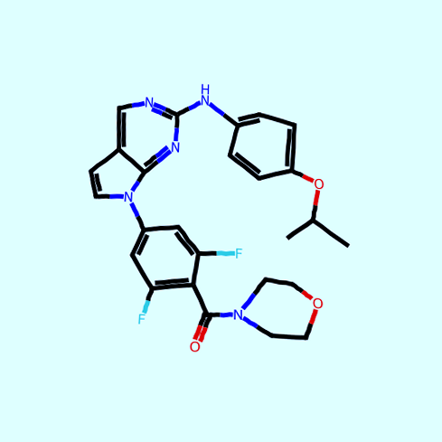 CC(C)Oc1ccc(Nc2ncc3ccn(-c4cc(F)c(C(=O)N5CCOCC5)c(F)c4)c3n2)cc1